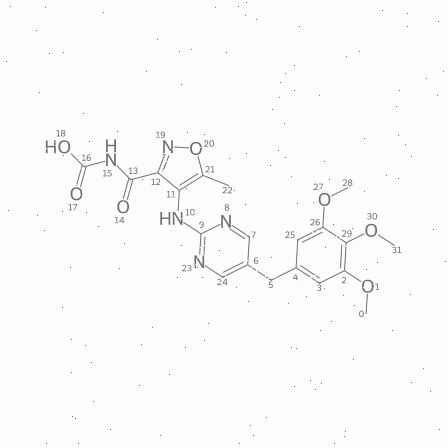 COc1cc(Cc2cnc(Nc3c(C(=O)NC(=O)O)noc3C)nc2)cc(OC)c1OC